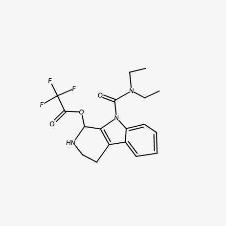 CCN(CC)C(=O)n1c2c(c3ccccc31)CCNC2OC(=O)C(F)(F)F